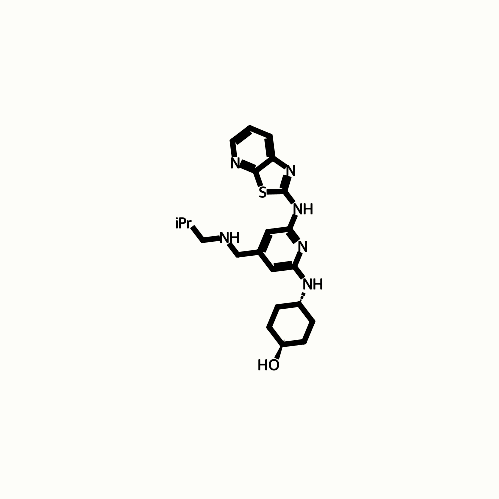 CC(C)CNCc1cc(Nc2nc3cccnc3s2)nc(N[C@H]2CC[C@H](O)CC2)c1